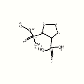 O=P(O)(O)C1CCOC1P(=O)(O)OCl